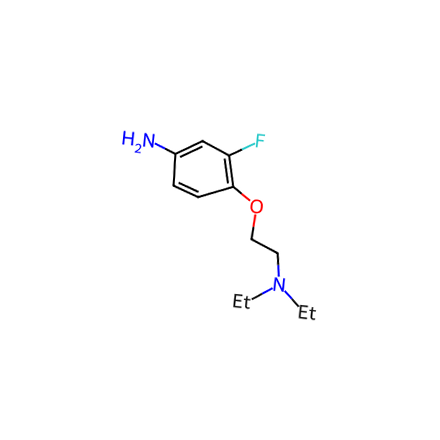 CCN(CC)CCOc1ccc(N)cc1F